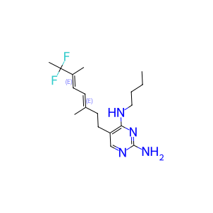 CCCCNc1nc(N)ncc1CC/C(C)=C/C=C(\C)C(C)(F)F